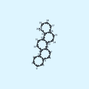 c1ccc2c(c1)ccc1c2ccc2c1ccc1cccnc12